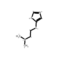 CN(C)CCSc1cn[c]s1